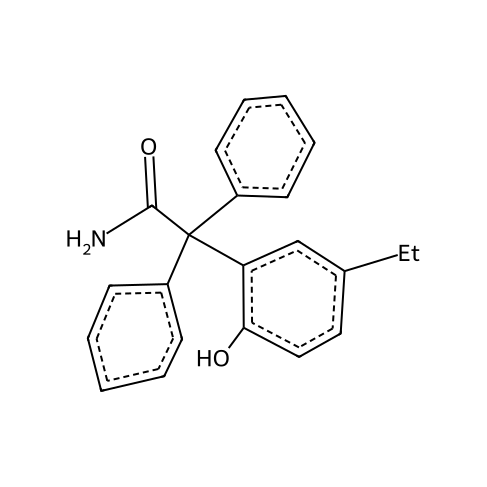 [CH2]Cc1ccc(O)c(C(C(N)=O)(c2ccccc2)c2ccccc2)c1